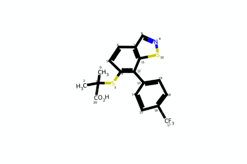 CC(C)(Sc1ccc2cnsc2c1-c1ccc(C(F)(F)F)cc1)C(=O)O